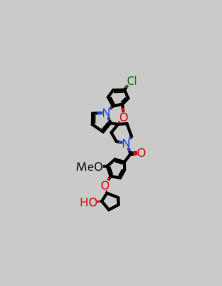 COc1cc(C(=O)N2CCC3(CC2)Oc2cc(Cl)ccc2-n2cccc23)ccc1O[C@@H]1CCC[C@H]1O